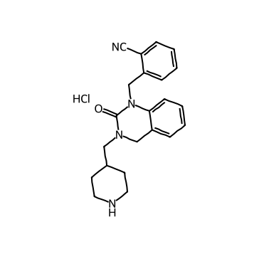 Cl.N#Cc1ccccc1CN1C(=O)N(CC2CCNCC2)Cc2ccccc21